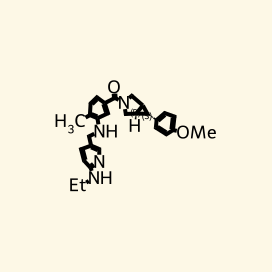 CCNc1ccc(CNc2cc(C(=O)N3CC4[C@H](C3)[C@H]4c3ccc(OC)cc3)ccc2C)cn1